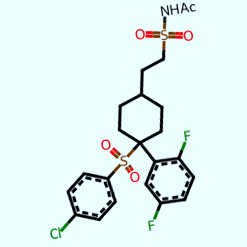 CC(=O)NS(=O)(=O)CCC1CCC(c2cc(F)ccc2F)(S(=O)(=O)c2ccc(Cl)cc2)CC1